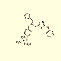 CC(C)(Sc1ccc(CN(Cc2ccco2)Cc2cnc(Oc3ccccc3)s2)cc1)C(=O)O